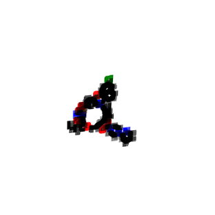 CC1(C)OCC=C[C@H](OC(=O)N2CCN(c3ccccn3)CC2)[C@@H]2CC[C@H]2CN2C[C@@]3(CCCc4cc(Cl)ccc43)COc3ccc(cc32)S(=O)(=O)NC1=O